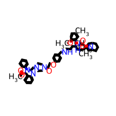 CCOc1ccccc1-n1c(CN2CCN(C(=O)COc3ccc(CNCCCC(C)CC(C)(C)CCN4C5CCCC4CC(OC(=O)Nc4cc(C)ccc4OC)C5)cc3)CC2)nc2ccccc2c1=O